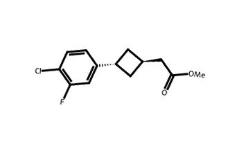 COC(=O)C[C@H]1C[C@H](c2ccc(Cl)c(F)c2)C1